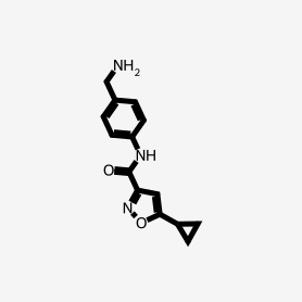 NCc1ccc(NC(=O)c2cc(C3CC3)on2)cc1